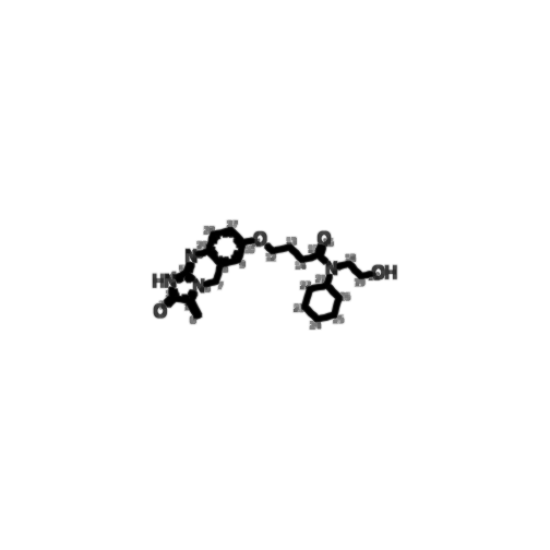 C=c1c(=O)[nH]c2n1Cc1cc(OCCCC(=O)N(CCO)C3CCCCC3)ccc1N=2